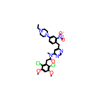 CCN1CCN(c2ccc(Cc3cc(N(C)C(=O)Cc4c(Cl)c(OC)cc(OC)c4Cl)ncn3)c([N+](=O)[O-])c2)CC1